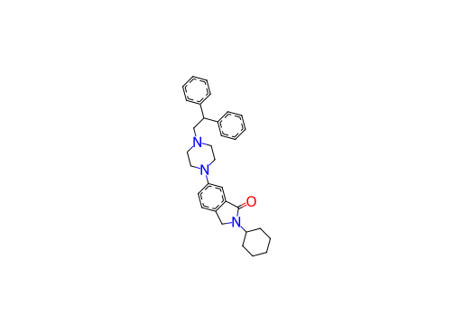 O=C1c2cc(N3CCN(CC(c4ccccc4)c4ccccc4)CC3)ccc2CN1C1CCCCC1